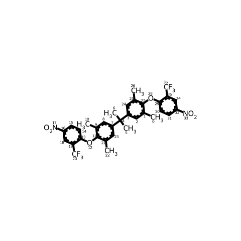 Cc1cc(C(C)(C)c2cc(C)c(Oc3ccc([N+](=O)[O-])cc3C(F)(F)F)c(C)c2)cc(C)c1Oc1ccc([N+](=O)[O-])cc1C(F)(F)F